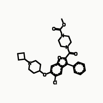 COC(=O)N1CCN(C(=O)c2oc3cc(OC4CCN(C5CCC5)CC4)c(Cl)cc3c2-c2ccccc2)CC1